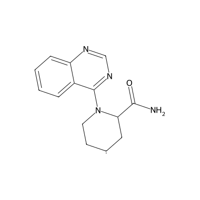 NC(=O)C1C[CH]CCN1c1ncnc2ccccc12